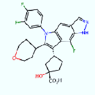 O=C(O)[C@]1(O)CC[C@@H](c2c(C3CCOCC3)n(-c3ccc(F)c(F)c3)c3cc4cn[nH]c4c(F)c23)C1